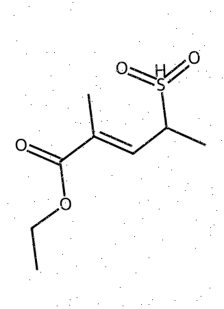 CCOC(=O)C(C)=CC(C)[SH](=O)=O